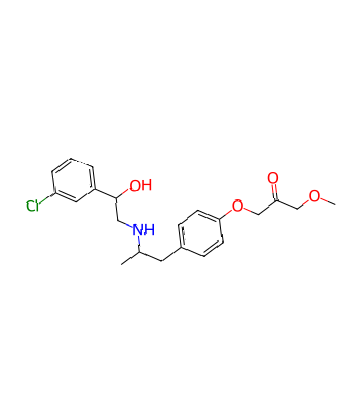 COCC(=O)COc1ccc(CC(C)NCC(O)c2cccc(Cl)c2)cc1